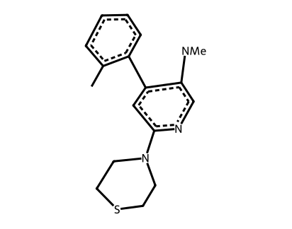 CNc1cnc(N2CCSCC2)cc1-c1ccccc1C